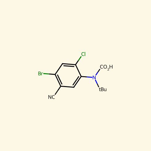 CC(C)(C)N(C(=O)O)c1cc(C#N)c(Br)cc1Cl